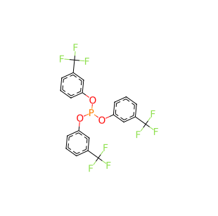 FC(F)(F)c1cccc(OP(Oc2cccc(C(F)(F)F)c2)Oc2cccc(C(F)(F)F)c2)c1